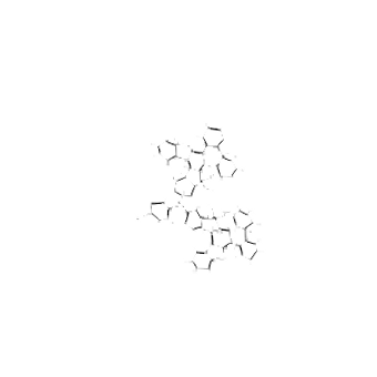 CC(C)(C)c1ccc(N(c2ccc3c(c2)C(C)(C)c2cc(-c4ccccc4-c4ccccc4)c4oc5ccccc5c4c2-3)c2ccc3c(c2)C(C)(C)c2cc(-c4ccccc4-c4ccccc4)c4oc5ccccc5c4c2-3)cc1